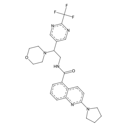 O=C(NCC(c1cnc(C(F)(F)F)nc1)N1CCOCC1)c1cccc2nc(N3CCCC3)ccc12